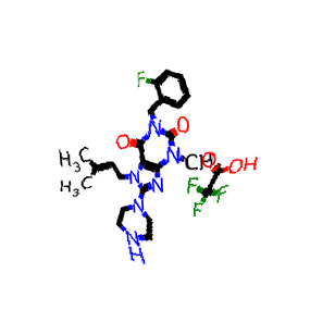 CC(C)=CCn1c(N2CCNCC2)nc2c1c(=O)n(Cc1ccccc1F)c(=O)n2C.O=C(O)C(F)(F)F